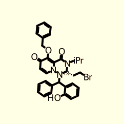 CC(C)N1C(=O)c2c(OCc3ccccc3)c(=O)ccn2N(C(c2ccccc2)c2ccccc2O)[C@H]1CCBr